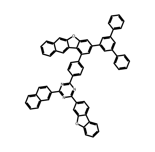 c1ccc(-c2cc(-c3ccccc3)cc(-c3cc(-c4ccc(-c5nc(-c6ccc7ccccc7c6)nc(-c6ccc7c(c6)oc6ccccc67)n5)cc4)c4c(c3)oc3cc5ccccc5cc34)c2)cc1